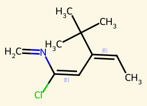 C=N/C(Cl)=C\C(=C/C)C(C)(C)C